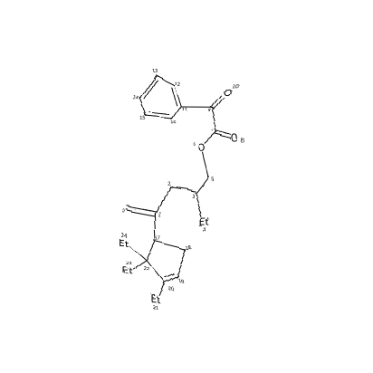 C=C(CC(CC)COC(=O)C(=O)c1ccccc1)C1CC=C(CC)C1(CC)CC